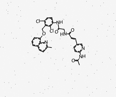 CC(=O)Nc1ccc(/C=C/C(=O)NCC(=O)Nc2ccc(Cl)c(COc3cccc4ccc(C)nc34)c2Cl)cn1